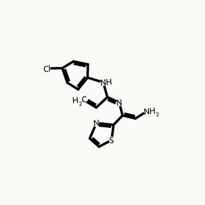 C=C/C(=N\C(=C/N)c1nccs1)Nc1ccc(Cl)cc1